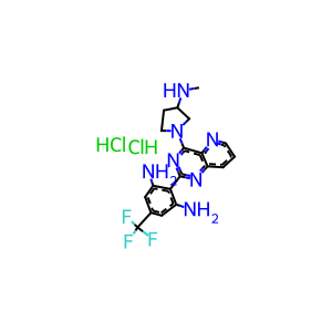 CNC1CCN(c2nc(-c3c(N)cc(C(F)(F)F)cc3N)nc3cccnc23)C1.Cl.Cl